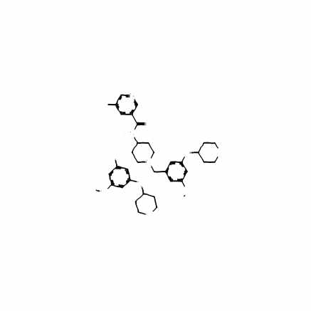 CCOc1cc(C=O)cc(OC2CCOCC2)c1.CCOc1cc(CN2CCC(NC(=O)c3cncc(C)c3)CC2)cc(OC2CCOCC2)c1